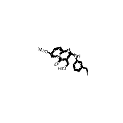 COc1ccc2nc(Nc3cccc(CI)c3)c(CO)c(=O)n2c1